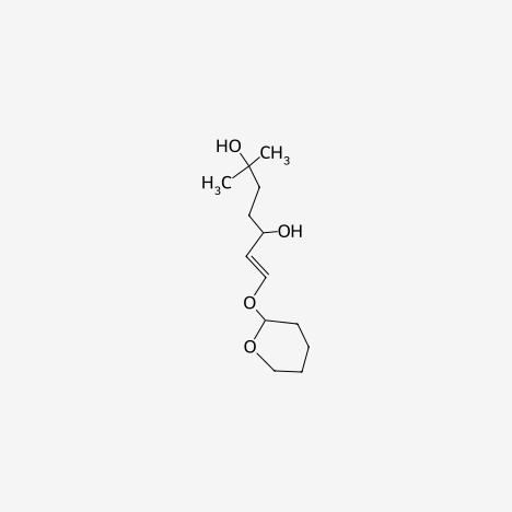 CC(C)(O)CCC(O)/C=C/OC1CCCCO1